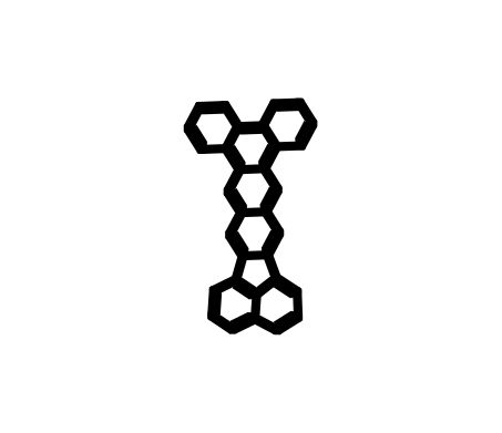 c1cc2c3c(cccc3c1)-c1cc3cc4c5ccccc5c5ccccc5c4cc3cc1-2